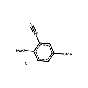 COc1ccc(OC)c([N+]#N)c1.[Cl-]